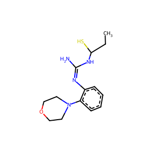 CCC(S)NC(N)=Nc1ccccc1N1CCOCC1